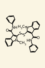 Cn1c(SSc2c(C(=O)Nc3ccccc3)c3ccccc3n2C)c(C(=O)Nc2ccccc2)c2ccccc21